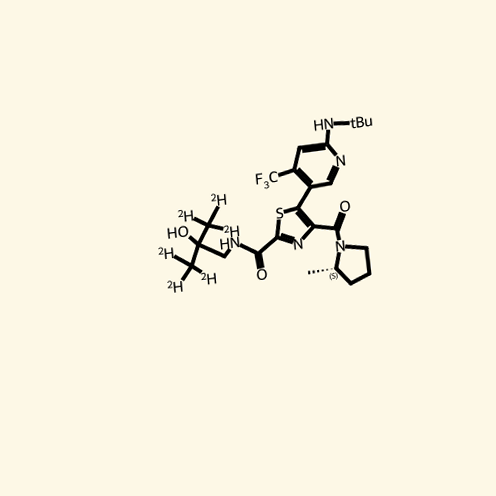 [2H]C([2H])([2H])C(O)(CNC(=O)c1nc(C(=O)N2CCC[C@@H]2C)c(-c2cnc(NC(C)(C)C)cc2C(F)(F)F)s1)C([2H])([2H])[2H]